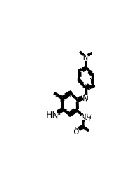 CC(=O)NC1=CC(=N)C(C)=CC1=Nc1ccc(N(C)C)cc1